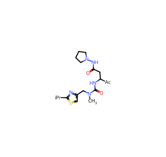 CC(=O)C(CC(=O)NN1CCCC1)NC(=O)N(C)Cc1csc(C(C)C)n1